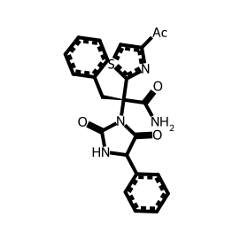 CC(=O)c1csc([C@](Cc2ccccc2)(C(N)=O)N2C(=O)NC(c3ccccc3)C2=O)n1